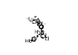 CC(C)[C@]1(F)CCc2nc3c(F)cc(C(=O)N[C@H](CCN4CCC(O)CC4)c4ccc(Cl)nc4)cc3cc2C1